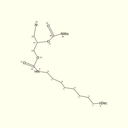 CCCCCCCCCCCCCCCCCCNC(=O)OCC(C[N])OC(=O)NC